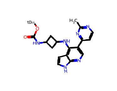 Cc1nccc(-c2cnc3[nH]ccc3c2NC2CC(NC(=O)OC(C)(C)C)C2)n1